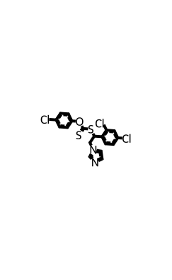 S=C(Oc1ccc(Cl)cc1)SC(Cn1ccnc1)c1ccc(Cl)cc1Cl